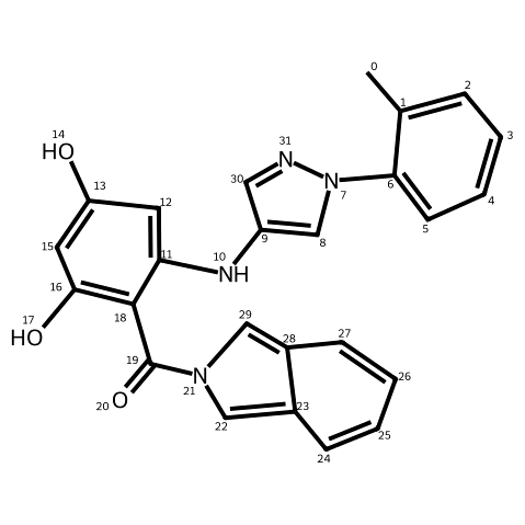 Cc1ccccc1-n1cc(Nc2cc(O)cc(O)c2C(=O)n2cc3ccccc3c2)cn1